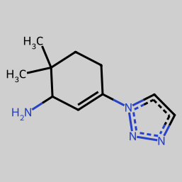 CC1(C)CCC(n2ccnn2)=CC1N